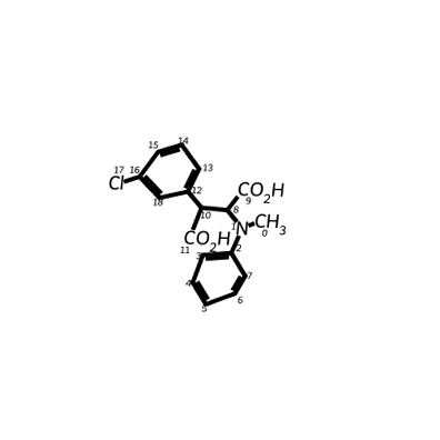 CN(c1ccccc1)C(C(=O)O)C(C(=O)O)c1cccc(Cl)c1